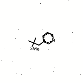 CSC(C)(C)Cc1cccnc1